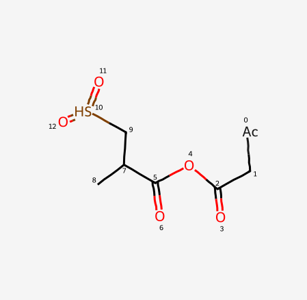 CC(=O)CC(=O)OC(=O)C(C)C[SH](=O)=O